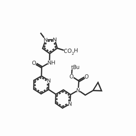 Cn1cc(NC(=O)c2cccc(-c3ccnc(N(CC4CC4)C(=O)OC(C)(C)C)c3)n2)c(C(=O)O)n1